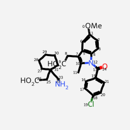 COc1ccc2c(c1)c(CC(=O)O)c(C)n2C(=O)c1ccc(Cl)cc1.NCC1(CC(=O)O)CCCCC1